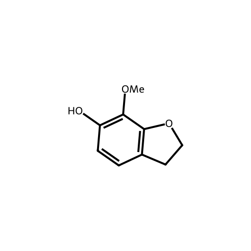 COc1c(O)ccc2c1OCC2